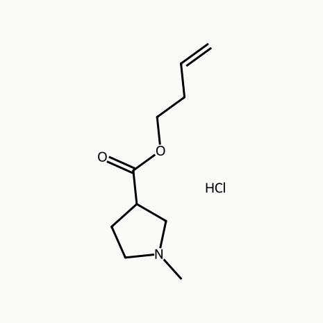 C=CCCOC(=O)C1CCN(C)C1.Cl